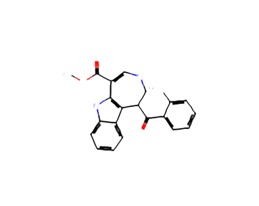 COc1ccccc1C(=O)C1CNC=C(C(=O)OC(C)C)c2[nH]c3ccccc3c21